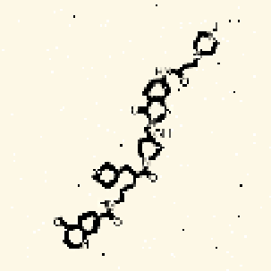 O=C(CCN1CCN(I)CC1)Nc1ccc2c(=O)n(CC3(O)CCN(C(=O)[C@@H](CCCNC(=O)c4ccc5c(Cl)ccnc5c4)Cc4ccccc4)CC3)cnc2c1